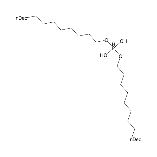 CCCCCCCCCCCCCCCCCCO[PH](O)(O)OCCCCCCCCCCCCCCCCCC